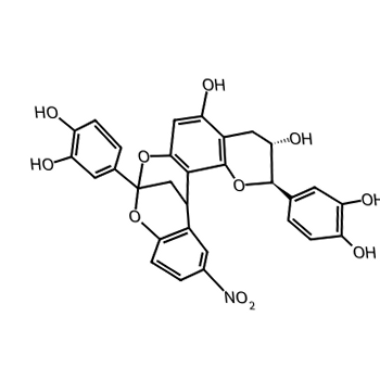 O=[N+]([O-])c1ccc2c(c1)C1CC(c3ccc(O)c(O)c3)(O2)Oc2cc(O)c3c(c21)O[C@H](c1ccc(O)c(O)c1)[C@@H](O)C3